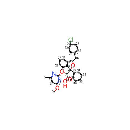 COc1cc(C)nc(OC(C(=O)O)C(OCCc2ccc(Cl)cc2)(c2ccccc2)c2ccccc2)n1